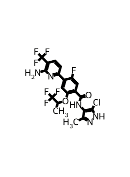 Cc1n[nH]c(Cl)c1NC(=O)c1cc(F)c(-c2ccc(C(F)(F)F)c(N)n2)cc1OC(C)C(F)(F)F